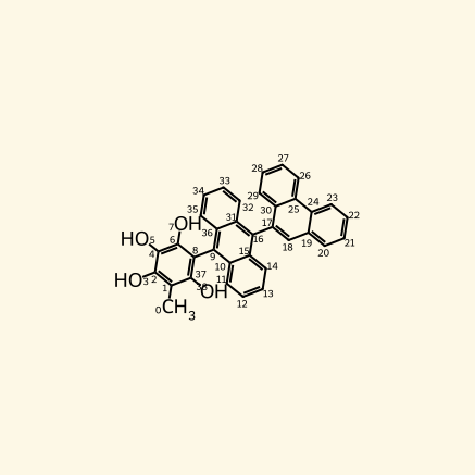 Cc1c(O)c(O)c(O)c(-c2c3ccccc3c(-c3cc4ccccc4c4ccccc34)c3ccccc23)c1O